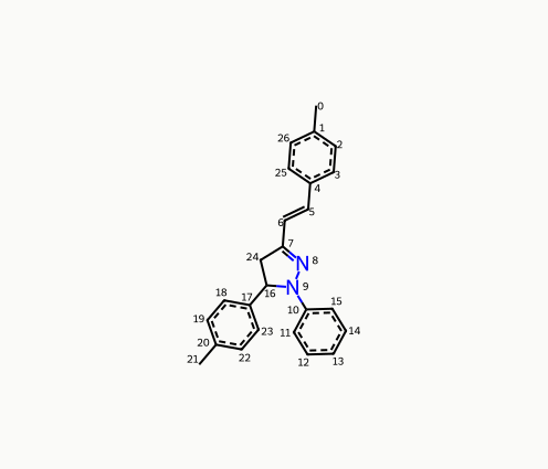 Cc1ccc(C=CC2=NN(c3ccccc3)C(c3ccc(C)cc3)C2)cc1